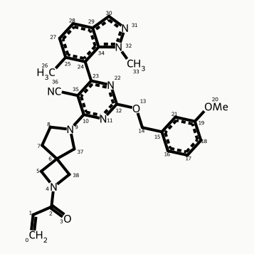 C=CC(=O)N1CC2(CCN(c3nc(OCc4cccc(OC)c4)nc(-c4c(C)ccc5cnn(C)c45)c3C#N)C2)C1